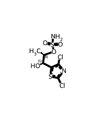 C[C@@H](OS(N)(=O)=O)[C@H](O)c1sc(Cl)nc1Cl